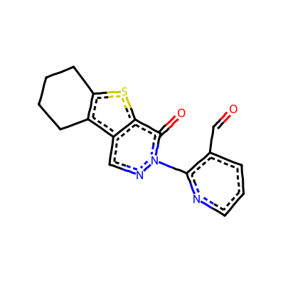 O=Cc1cccnc1-n1ncc2c3c(sc2c1=O)CCCC3